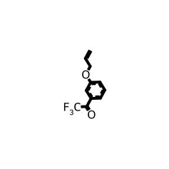 C=CCOc1cccc(C(=O)C(F)(F)F)c1